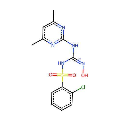 Cc1cc(C)nc(N/C(=N/O)NS(=O)(=O)c2ccccc2Cl)n1